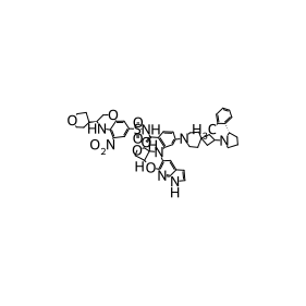 Cc1ccccc1[C@@H]1CCCN1C1CC2(CCN(c3ccc(C(=O)NS(=O)(=O)c4cc5c(c([N+](=O)[O-])c4)N[C@@H](C4CCOCC4)CO5)c(N4c5cc6cc[nH]c6nc5O[C@@H]5COC[C@@H]54)c3)CC2)C1